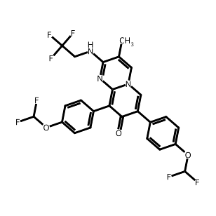 Cc1cn2cc(-c3ccc(OC(F)F)cc3)c(=O)c(-c3ccc(OC(F)F)cc3)c2nc1NCC(F)(F)F